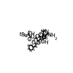 C[C@H](C(=O)OC[C@H]1O[C@@](C#N)(c2ccc3c(N)ncnn23)[C@H](O)[C@@H]1OC(=O)CC1CCCCC1)C(C)(C)C